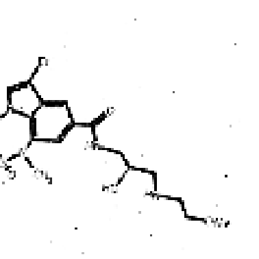 CCc1cn2c3c(cc(C(=O)NC[C@H](O)CNCCOC)cc13)N(C)S(=O)(=O)CC2